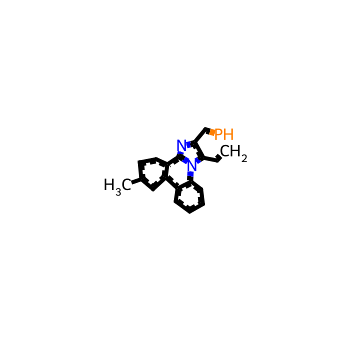 C=Cc1c(C=P)nc2c3ccc(C)cc3c3ccccc3n12